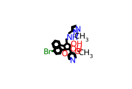 COc1cncc2c1C1(O)C(O)C(CNCc3ccnn3C)C(c3ccccc3)C1(c1ccc(Br)cc1)O2